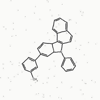 Cc1cccc(C2=CC3C(C=C2)c2c(ccc4ccccc24)N3c2ccccc2)c1